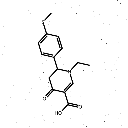 CCN1C=C(C(=O)O)C(=O)CC1c1ccc(SC)cc1